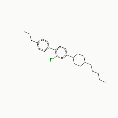 CCCCCC1CCC(c2ccc(-c3ccc(CCC)cc3)c(F)c2)CC1